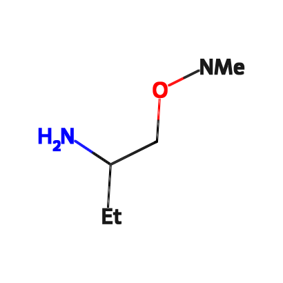 CCC(N)CONC